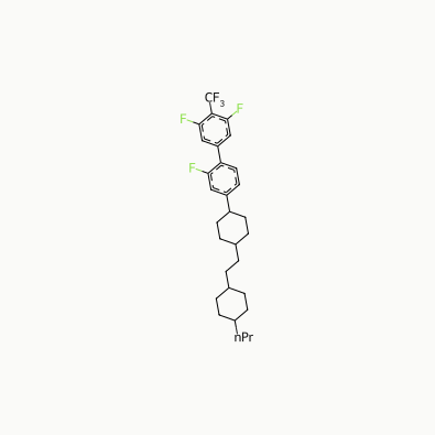 CCCC1CCC(CCC2CCC(c3ccc(-c4cc(F)c(C(F)(F)F)c(F)c4)c(F)c3)CC2)CC1